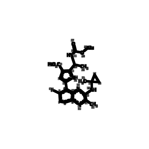 CCOC(=O)c1cc(-c2c(F)ccc3nc(C)c(NC4(C)CC4)nc23)[nH]c1C(C)NC(=O)OC(C)(C)C